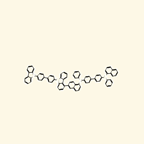 c1ccc(N(c2ccc(-c3ccc(N(c4ccccc4)c4cccc5cc(-c6cccc7c6c6ccccc6n7-c6ccc(-c7ccc(-n8c9ccccc9c9ccccc98)cc7)cc6)ccc45)cc3)cc2)c2cccc3ccccc23)cc1